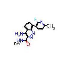 CCCNC(=O)c1nnc2c(-c3ccc(C)nc3F)cccc2c1N